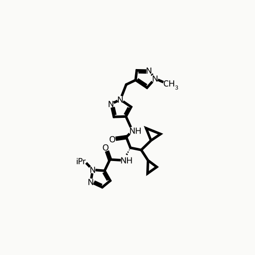 CC(C)n1nccc1C(=O)N[C@H](C(=O)Nc1cnn(Cc2cnn(C)c2)c1)C(C1CC1)C1CC1